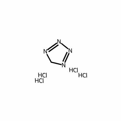 C1N=NN=N1.Cl.Cl.Cl.Cl